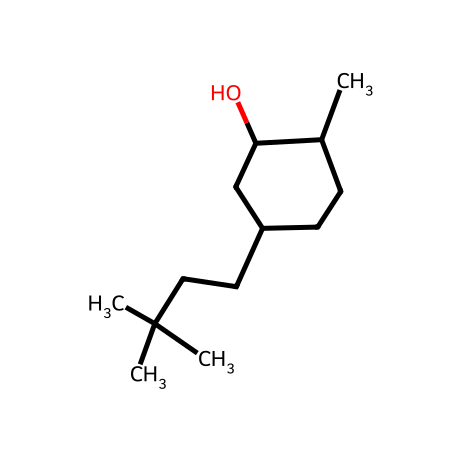 CC1CCC(CCC(C)(C)C)CC1O